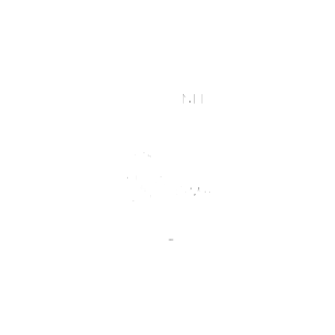 COc1ccccc1S(=O)(=O)OC(=O)CCCN